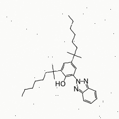 CCCCCCC(C)(C)c1cc(-n2nc3ccccc3n2)c(O)c(C(C)(C)CCCCCC)c1